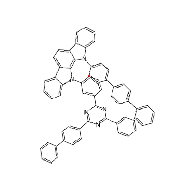 c1ccc(-c2ccc(-c3ccc(-n4c5ccccc5c5ccc6c7ccccc7n(-c7cccc(-c8nc(-c9ccccc9)nc(-c9ccc(-c%10ccccc%10)cc9)n8)c7)c6c54)cc3)cc2)cc1